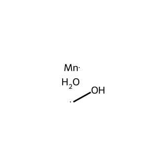 O.[CH2]O.[Mn]